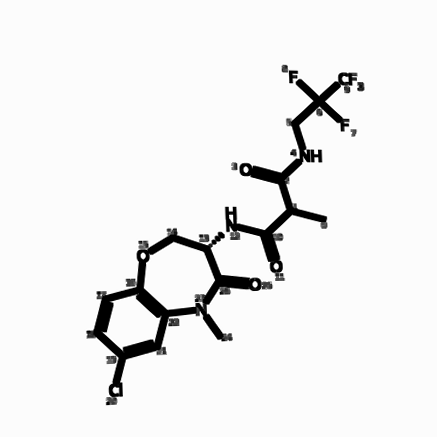 CC(C(=O)NCC(F)(F)C(F)(F)F)C(=O)N[C@H]1COc2ccc(Cl)cc2N(C)C1=O